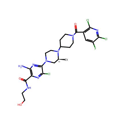 CC[C@H]1CN(c2nc(N)c(C(=O)NCCO)nc2Cl)CCN1C1CCN(C(=O)c2cc(F)c(Cl)nc2Cl)CC1